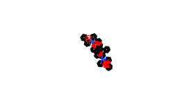 c1ccc(-c2ccccc2N(c2ccc3c4c(ccc3c2)-c2c(c3ccc(N(c5ccccc5-c5ccccc5)c5cccc6c5oc5ccccc56)cc3c3ccccc23)C42c3ccccc3-c3ccccc32)c2cccc3c2oc2ccccc23)cc1